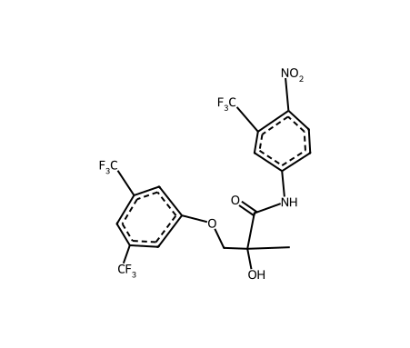 CC(O)(COc1cc(C(F)(F)F)cc(C(F)(F)F)c1)C(=O)Nc1ccc([N+](=O)[O-])c(C(F)(F)F)c1